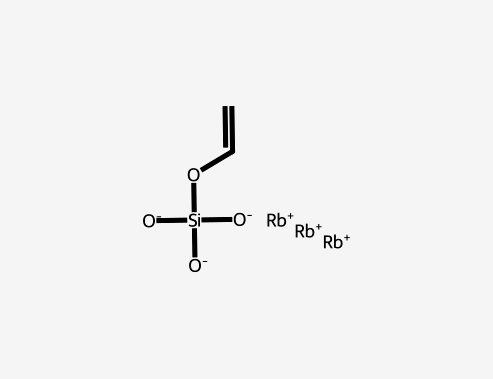 C=CO[Si]([O-])([O-])[O-].[Rb+].[Rb+].[Rb+]